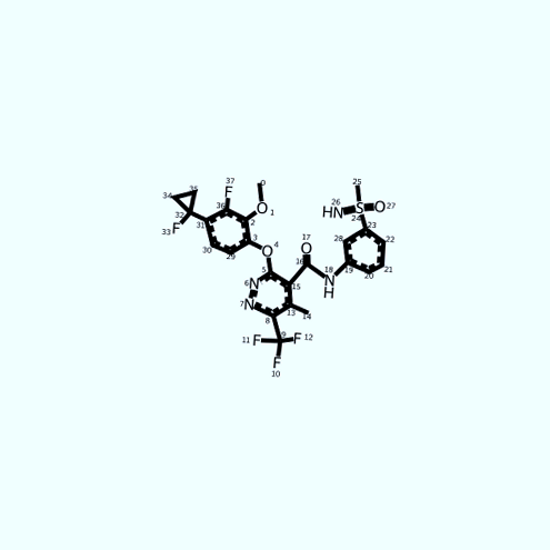 COc1c(Oc2nnc(C(F)(F)F)c(C)c2C(=O)Nc2cccc(S(C)(=N)=O)c2)ccc(C2(F)CC2)c1F